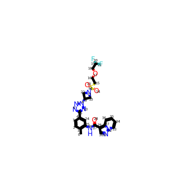 Cc1ccc(-c2nnn(C3CN(S(=O)(=O)CCOCC(F)F)C3)n2)cc1NC(=O)c1cnn2ccccc12